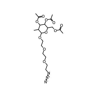 CC(=O)OCC1OC(OCCOCCOCCN=[N+]=[N-])C(C)C(OC(C)=O)C1OC(C)=O